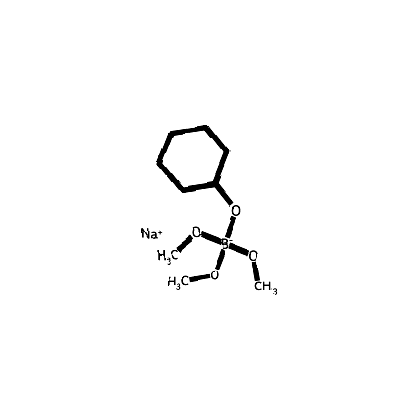 CO[B-](OC)(OC)OC1CCCCC1.[Na+]